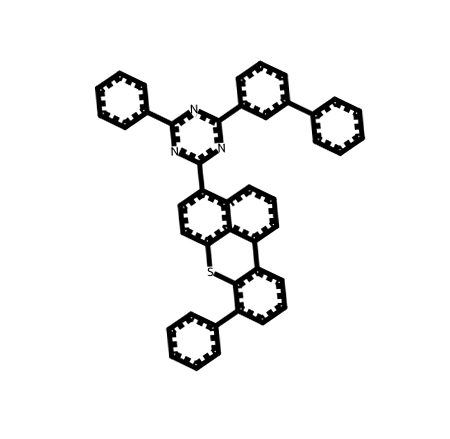 c1ccc(-c2cccc(-c3nc(-c4ccccc4)nc(-c4ccc5c6c(cccc46)-c4cccc(-c6ccccc6)c4S5)n3)c2)cc1